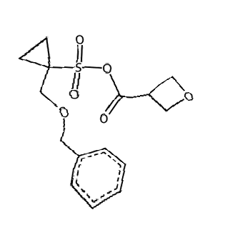 O=C(OS(=O)(=O)C1(COCc2ccccc2)CC1)C1COC1